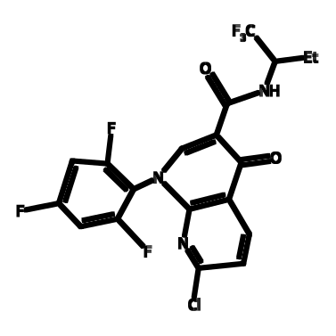 CCC(NC(=O)c1cn(-c2c(F)cc(F)cc2F)c2nc(Cl)ccc2c1=O)C(F)(F)F